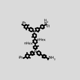 CCCCCCC1=CC(C2=CCC(N(C3C=CC(C4C=CC(C(N)CC)=CC4)=CC3)C3C=CC(C4C(C)C=C(CC(C)C)CC4C)=CC3)C=C2C)C(CCCCCC)CC1C1CC=C(N(c2ccc(C3C(C)=CC(CC(C)C)=CC3C)cc2)C2C=CC(c3ccc(C(C)N)cc3)=CC2)C=C1C